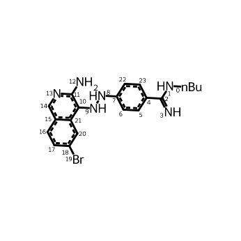 CCCCNC(=N)c1ccc(NNc2c(N)ncc3ccc(Br)cc23)cc1